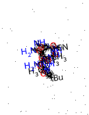 Cc1c(C(=O)NC(CCN)C(=O)N(C)C2C(=O)NC(C)C(=O)NC(C(=O)NCC#N)Cc3ccc(OCCN)c(c3)-c3cc2ccc3OCCN)cnn(-c2ccc(C(C)(C)C)cc2)c1=O